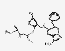 CCOC(=O)c1cnn2cc(-c3ccccc3)c(NCc3cc(Cl)cnc3O[C@@H](C)CNC(=O)OC(C)(C)C)nc12